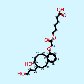 O=C(O)CCCCCOC(=O)COc1cccc2c1CCC[C@@H](O)C(CCCO)CC2